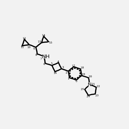 c1cc(C2CC(CNCC(C3CC3)C3CC3)C2)ccc1CN1CCCC1